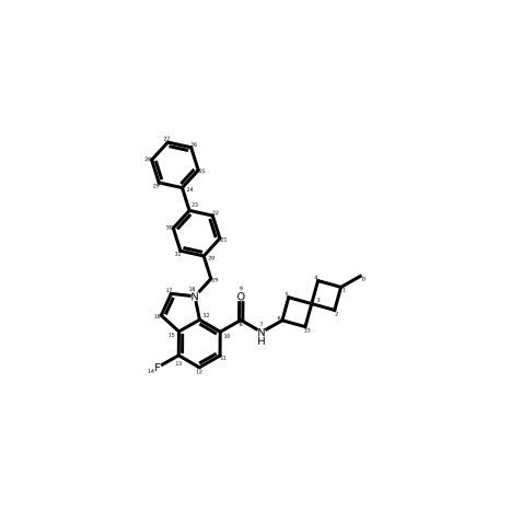 CC1CC2(C1)CC(NC(=O)c1ccc(F)c3ccn(Cc4ccc(-c5ccccc5)cc4)c13)C2